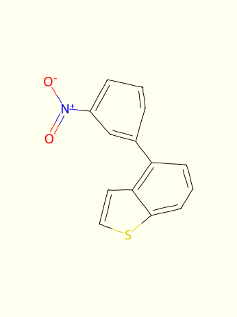 O=[N+]([O-])c1cccc(-c2cccc3sccc23)c1